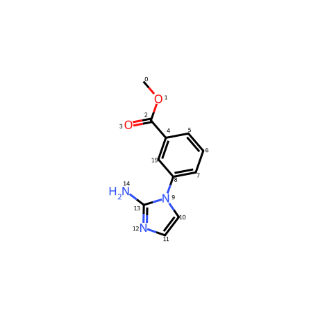 COC(=O)c1cccc(-n2ccnc2N)c1